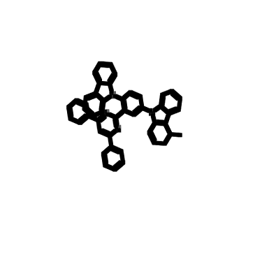 CC1CC=Cc2c1c1ccccc1n2-c1ccc(-n2c3ccccc3c3ccccc32)c(-c2nc(-c3ccccc3)cc(-c3ccccc3)n2)c1